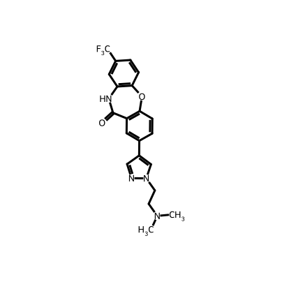 CN(C)CCn1cc(-c2ccc3c(c2)C(=O)Nc2cc(C(F)(F)F)ccc2O3)cn1